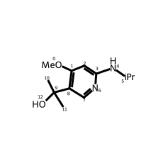 COc1cc(NC(C)C)ncc1C(C)(C)O